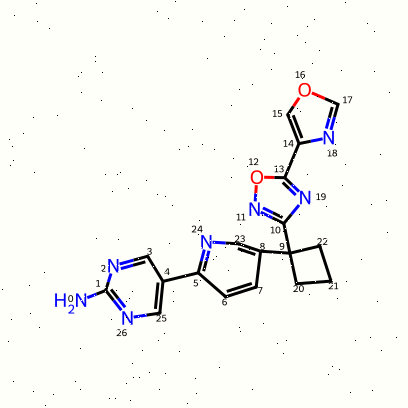 Nc1ncc(-c2ccc(C3(c4noc(-c5cocn5)n4)CCC3)cn2)cn1